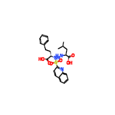 CC(C)C[C@H](N)C(=O)O.O=C(O)[C@H](CCc1ccccc1)NS(=O)(=O)c1ccc2ccccc2n1